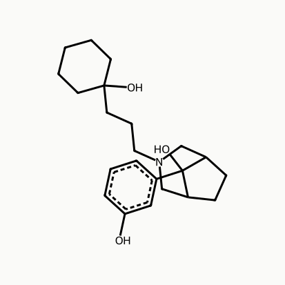 Oc1cccc(C2(O)C3CCC2CN(CCCC2(O)CCCCC2)C3)c1